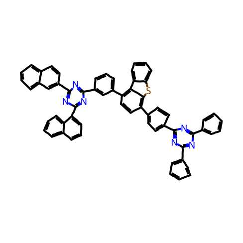 c1ccc(-c2nc(-c3ccccc3)nc(-c3ccc(-c4ccc(-c5cccc(-c6nc(-c7ccc8ccccc8c7)nc(-c7cccc8ccccc78)n6)c5)c5c4sc4ccccc45)cc3)n2)cc1